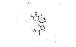 CCCNc1scc2c1CN([C@@]1(C)CCC(=O)NC1=O)C2=O